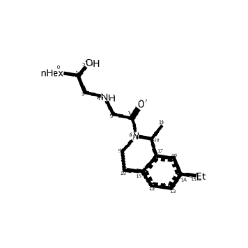 CCCCCCC(O)CNCC(=O)N1CCc2ccc(CC)cc2C1C